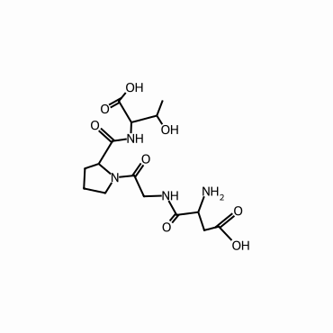 CC(O)C(NC(=O)C1CCCN1C(=O)CNC(=O)C(N)CC(=O)O)C(=O)O